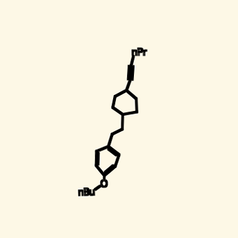 CCCC#CC1CCC(CCc2ccc(OCCCC)cc2)CC1